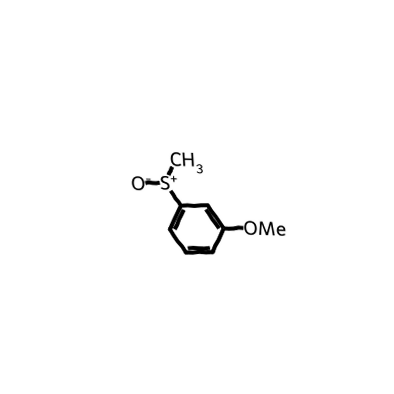 COc1cccc([S+](C)[O-])c1